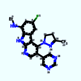 CCNc1cc(F)cc2c1[nH]c1ncc(-c3cncnc3)c(N3CCC(C(F)(F)F)=N3)c12